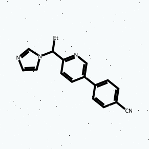 CCC(c1ccc(-c2ccc(C#N)cc2)cn1)n1ccnc1